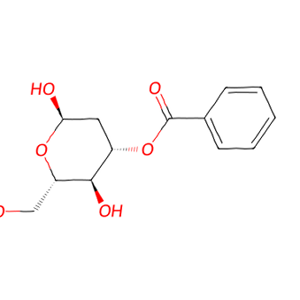 O=C(O[C@H]1C[C@H](O)O[C@@H](CO)[C@@H]1O)c1ccccc1